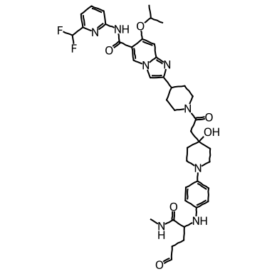 CNC(=O)C(CCC=O)Nc1ccc(N2CCC(O)(CC(=O)N3CCC(c4cn5cc(C(=O)Nc6cccc(C(F)F)n6)c(OC(C)C)cc5n4)CC3)CC2)cc1